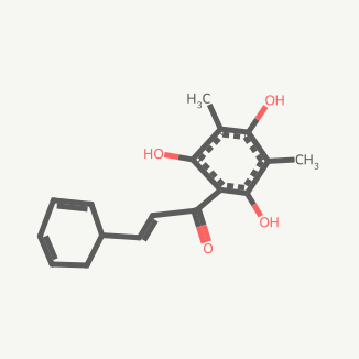 Cc1c(O)c(C)c(O)c(C(=O)C=CC2C=CC=CC2)c1O